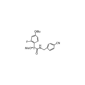 CO[C@H](C(=O)NCc1ccc(C#N)cc1)c1ccc(OCC(C)C)cc1F